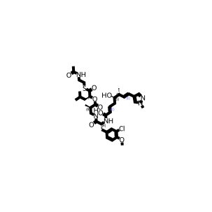 COc1ccc(C[C@@H](NC(=O)/C=C/C[C@H](O)[C@H](C)/C=C/c2cnn(C)c2)C(=O)NC[C@@H](C)C(=O)O[C@@H](CC(C)C)C(=O)SCCNC(C)=O)cc1Cl